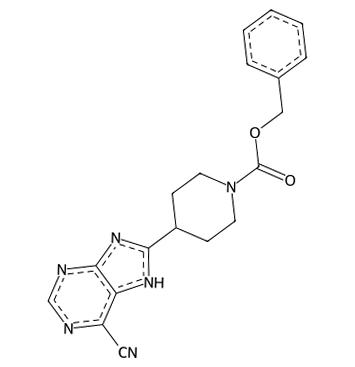 N#Cc1ncnc2nc(C3CCN(C(=O)OCc4ccccc4)CC3)[nH]c12